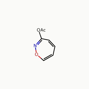 CC(=O)OC1=NOC=CC=C1